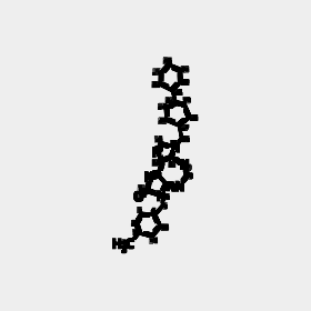 Cc1ccc(Cn2c3ncnc4c(ncn4Cc4ccc(-c5ccccc5)cc4)c-3nc2=O)cc1